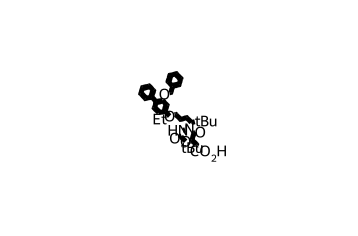 CCc1cc(-c2ccccc2)c(OCc2ccccc2)cc1OCCCC(N(NC(=O)OC(C)(C)C)C(=O)CCC(=O)O)C(C)(C)C